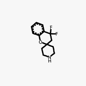 FC1(F)CC2(CCNCC2)Oc2ccccc21